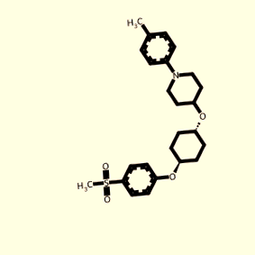 Cc1ccc(N2CCC(O[C@H]3CC[C@H](Oc4ccc(S(C)(=O)=O)cc4)CC3)CC2)cc1